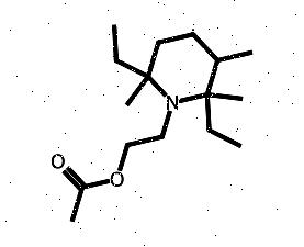 CCC1(C)C[CH]C(C)C(C)(CC)N1CCOC(C)=O